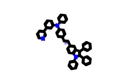 C(=C\c1ccc2c(c1)c(-c1ccccc1)c(-c1ccccc1)n2-c1ccccc1)/c1ccc(N(c2ccccc2)c2cccc(-c3cccnc3)c2)cc1